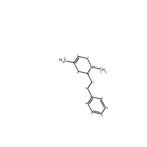 CC1=CCN(C)C(CCc2ccccc2)C1